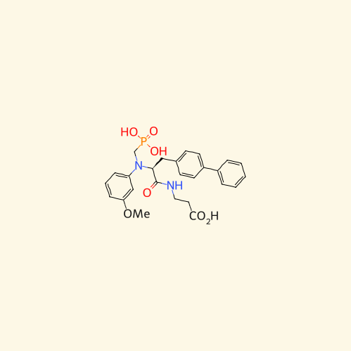 COc1cccc(N(CP(=O)(O)O)[C@@H](Cc2ccc(-c3ccccc3)cc2)C(=O)NCCC(=O)O)c1